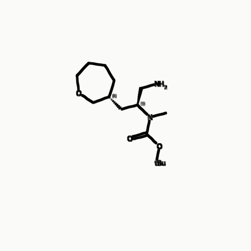 CN(C(=O)OC(C)(C)C)[C@H](CN)C[C@H]1CCCCOC1